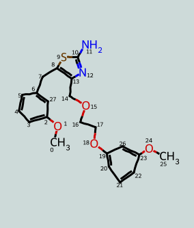 COc1cccc(Cc2sc(N)nc2COCCOc2cccc(OC)c2)c1